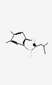 Cc1cc2nc(C(C)C)[nH]c2cc1F